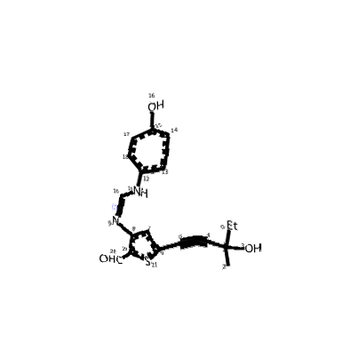 CCC(C)(O)C#Cc1cc(/N=C\Nc2ccc(O)cc2)c(C=O)s1